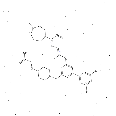 C=N/C(=N\C=C(/C)Oc1cc(CN2CCC(OCC(=O)O)CC2)cc(-c2cc(Cl)cc(Cl)c2)n1)N1CCCN(C)CC1